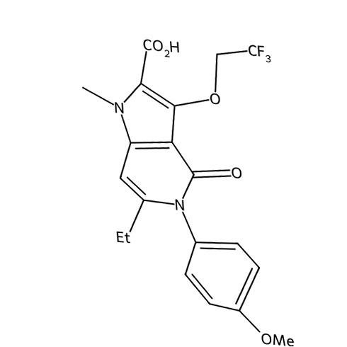 CCc1cc2c(c(OCC(F)(F)F)c(C(=O)O)n2C)c(=O)n1-c1ccc(OC)cc1